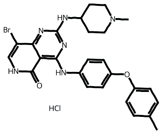 Cc1ccc(Oc2ccc(Nc3nc(NC4CCN(C)CC4)nc4c(Br)c[nH]c(=O)c34)cc2)cc1.Cl